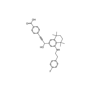 CC1(C)CCC(C)(C)c2c(NCCc3ccc(F)cc3)cc(C(O)C#Cc3ccc(C(=O)O)cc3)cc21